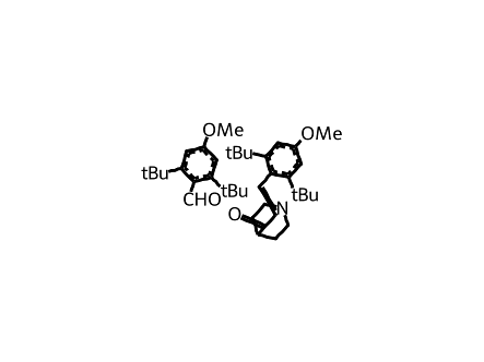 COc1cc(C(C)(C)C)c(C=C2C(=O)C3CCN2CC3)c(C(C)(C)C)c1.COc1cc(C(C)(C)C)c(C=O)c(C(C)(C)C)c1